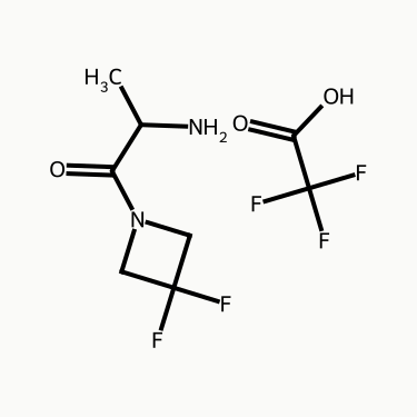 CC(N)C(=O)N1CC(F)(F)C1.O=C(O)C(F)(F)F